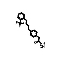 O=C(Cc1ccc(CCCCc2ccccc2C(F)(F)F)cc1)NO